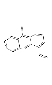 O=Cc1cccc2c(Cl)c3ccccc3cc12